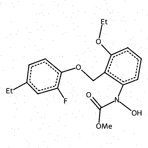 CCOc1cccc(N(O)C(=O)OC)c1COc1ccc(CC)cc1F